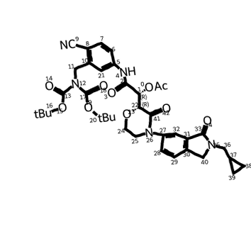 CC(=O)O[C@@H](C(=O)Nc1ccc(C#N)c(CN(C(=O)OC(C)(C)C)C(=O)OC(C)(C)C)c1)[C@H]1OCCN(c2ccc3c(c2)C(=O)N(CC2CC2)C3)C1=O